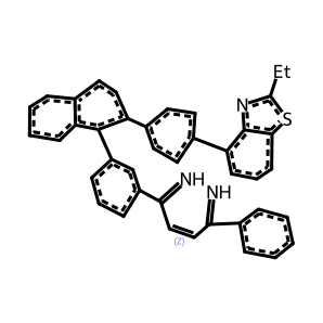 CCc1nc2c(-c3ccc(-c4ccc5ccccc5c4-c4cccc(C(=N)/C=C\C(=N)c5ccccc5)c4)cc3)cccc2s1